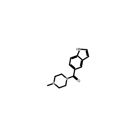 CN1CCN(C(=O)c2ccc3[nH]ccc3c2)CC1